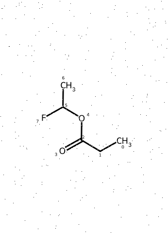 CCC(=O)OC(C)F